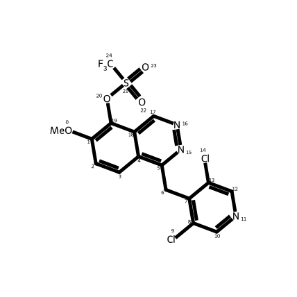 COc1ccc2c(Cc3c(Cl)cncc3Cl)nncc2c1OS(=O)(=O)C(F)(F)F